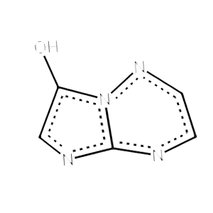 Oc1cnc2nccnn12